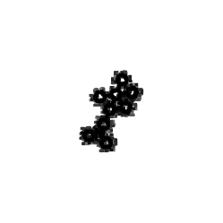 c1ccc(-c2cc(-c3ccccc3)c3c4ccc(-c5ccc(N(c6ccccc6)c6ccccc6)cc5)cc4c4ccccc4c3c2-c2ccccc2)cc1